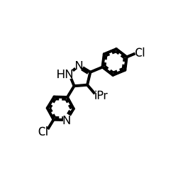 CC(C)C1C(c2ccc(Cl)cc2)=NNC1c1ccc(Cl)nc1